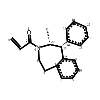 C=CC(=O)N1CCc2ccccc2[C@@H](c2ccccc2)[C@H]1C